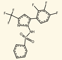 O=S(=O)(Nn1nc(C(F)(F)F)cc1-c1ccc(F)c(F)c1F)c1ccccc1